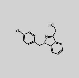 OCc1nn(Cc2ccc(Cl)cc2)c2ccccc12